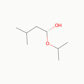 CC(C)C[C@H](O)OC(C)C